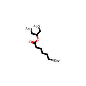 CCCCCCCCCCCCCCCC(=O)OC(COC(C)=O)COC(C)=O